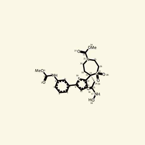 COC(=O)Nc1cccc(-c2ccc([C@@]3(CC(=O)NO)CCN(C(=O)OC)CCS3(=O)=O)s2)c1